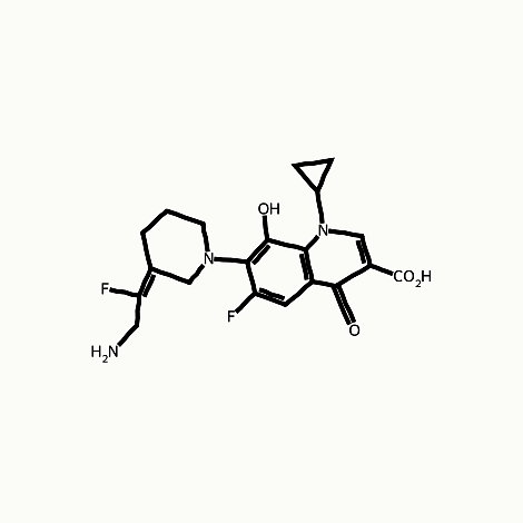 NC/C(F)=C1/CCCN(c2c(F)cc3c(=O)c(C(=O)O)cn(C4CC4)c3c2O)C1